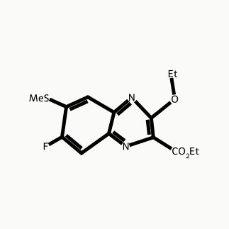 CCOC(=O)c1nc2cc(F)c(SC)cc2nc1OCC